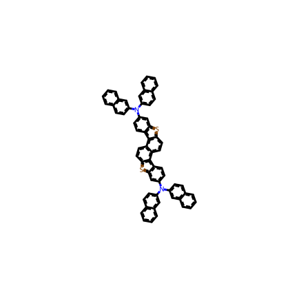 c1ccc2cc(N(c3ccc4ccccc4c3)c3ccc4c(c3)sc3ccc5c(ccc6sc7cc(N(c8ccc9ccccc9c8)c8ccc9ccccc9c8)ccc7c65)c34)ccc2c1